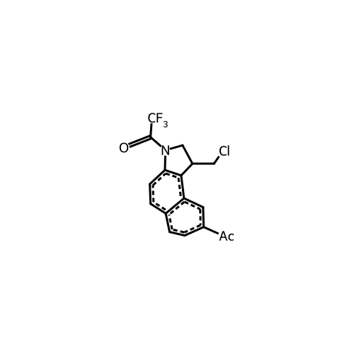 CC(=O)c1ccc2ccc3c(c2c1)C(CCl)CN3C(=O)C(F)(F)F